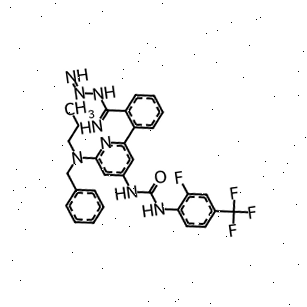 CCCN(Cc1ccccc1)c1cc(NC(=O)Nc2ccc(C(F)(F)F)cc2F)cc(-c2ccccc2C(=N)NN=N)n1